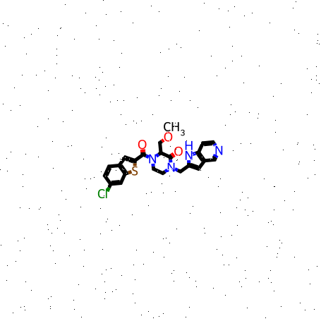 COCC1C(=O)N(Cc2cc3cnccc3[nH]2)CCN1C(=O)c1cc2ccc(Cl)cc2s1